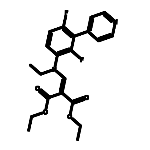 CCOC(=O)C(=CN(CC)c1ccc(F)c(-c2ccncc2)c1F)C(=O)OCC